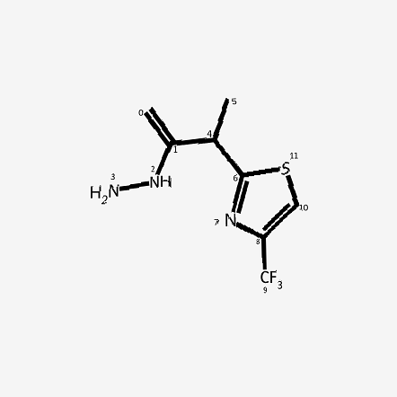 C=C(NN)C(C)c1nc(C(F)(F)F)cs1